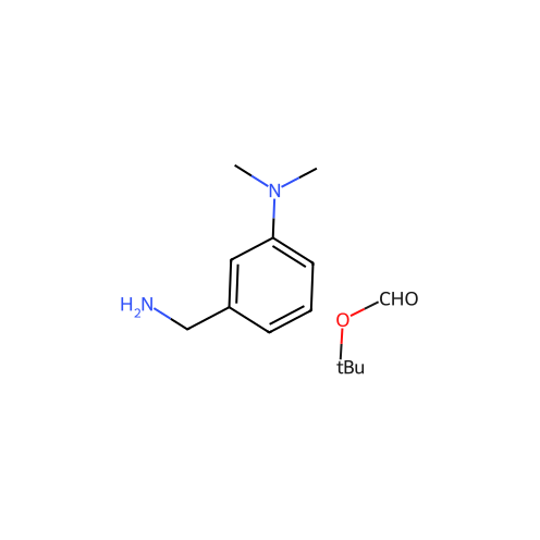 CC(C)(C)OC=O.CN(C)c1cccc(CN)c1